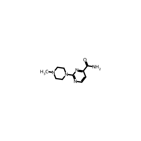 CN1CCN(c2nccc(C(N)=O)n2)CC1